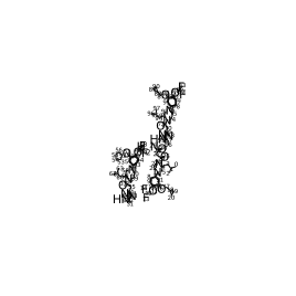 CC(C)CC1CN(c2ccc(OC(F)F)c(OCC3CC3)c2)CCN1C(=O)CC(N)=O.Cc1nc(CC(=O)N2CCN(c3ccc(OC(F)F)c(OC4CCCC4)c3)CC2CC(C)C)n[nH]1.Cc1nc(CC(=O)N2CCN(c3ccc(OC(F)F)c(OCC4CC4)c3)CC2CC(C)C)n[nH]1